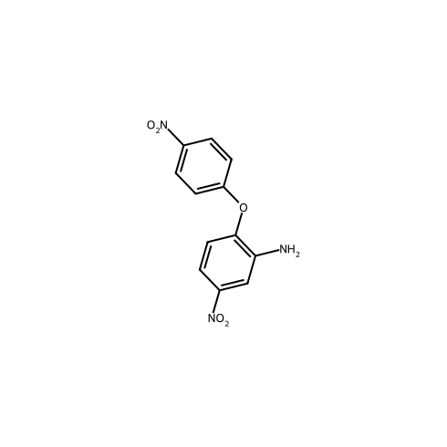 Nc1cc([N+](=O)[O-])ccc1Oc1ccc([N+](=O)[O-])cc1